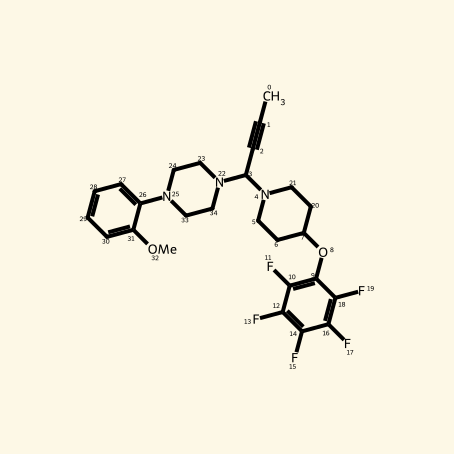 CC#CC(N1CCC(Oc2c(F)c(F)c(F)c(F)c2F)CC1)N1CCN(c2ccccc2OC)CC1